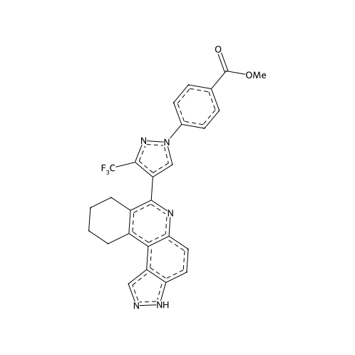 COC(=O)c1ccc(-n2cc(-c3nc4ccc5[nH]ncc5c4c4c3CCCC4)c(C(F)(F)F)n2)cc1